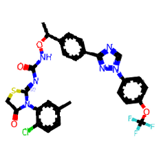 Cc1ccc(Cl)c(N2C(=O)CS/C2=N\C(=O)NOC(C)c2ccc(-c3ncn(-c4ccc(OC(F)(F)F)cc4)n3)cc2)c1